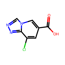 O=C(O)c1cc(Cl)c2nncn2c1